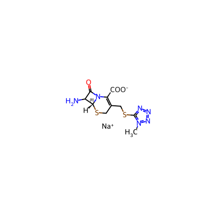 Cn1nnnc1SCC1=C(C(=O)[O-])N2C(=O)C(N)[C@H]2SC1.[Na+]